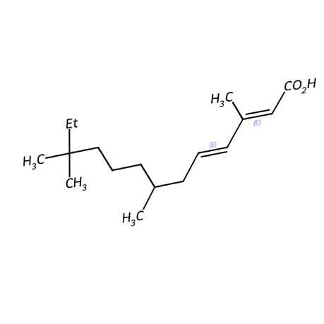 CCC(C)(C)CCCC(C)C/C=C/C(C)=C/C(=O)O